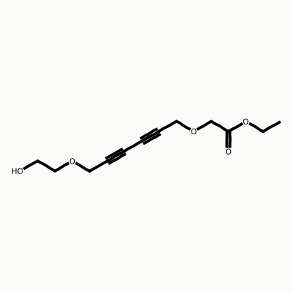 CCOC(=O)COCC#CC#CCOCCO